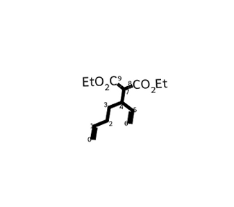 C=CCCC(C=C)C(C(=O)OCC)C(=O)OCC